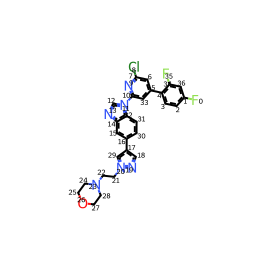 Fc1ccc(-c2cc(Cl)nc(-n3cnc4cc(-c5cnn(CCN6CCOCC6)c5)ccc43)c2)c(F)c1